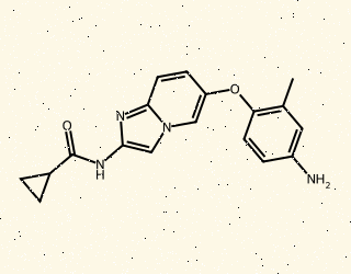 Cc1cc(N)ccc1Oc1ccc2nc(NC(=O)C3CC3)cn2c1